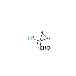 O=[C]C1(Cl)CC1